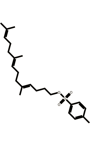 CC(C)=CCC/C(C)=C/CC/C(C)=C/CCCOS(=O)(=O)c1ccc(C)cc1